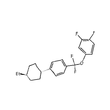 CC[C@H]1CC[C@H](c2ccc(C(F)(F)Oc3ccc(F)c(F)c3)cc2)CC1